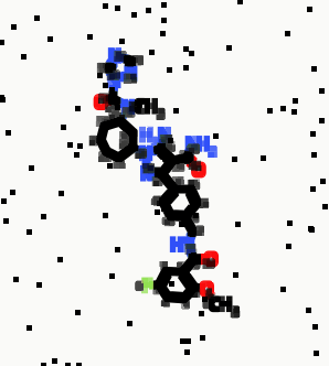 COc1ccc(F)cc1C(=O)NCc1ccc(-c2nn([C@H]3CCCC[C@H](N(C)C(=O)n4cncn4)C3)c(N)c2C(N)=O)cc1